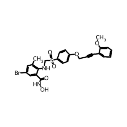 COc1ccccc1C#CCOc1ccc(S(=O)(=O)CNc2c(C)cc(Br)cc2C(=O)NO)cc1